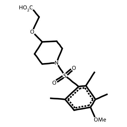 COc1cc(C)c(S(=O)(=O)N2CCC(OCC(=O)O)CC2)c(C)c1C